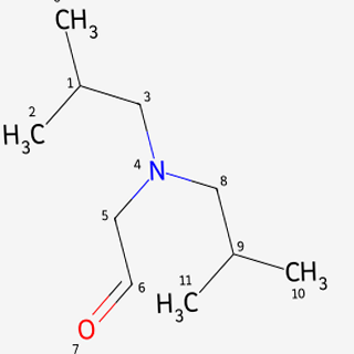 CC(C)CN(CC=O)CC(C)C